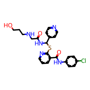 O=C(CNCCCO)NC(Sc1ncccc1C(=O)Nc1ccc(Cl)cc1)c1ccncc1